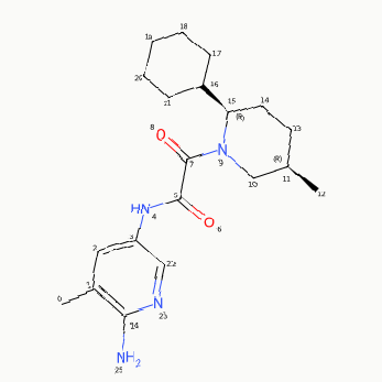 Cc1cc(NC(=O)C(=O)N2C[C@H](C)CC[C@@H]2C2CCCCC2)cnc1N